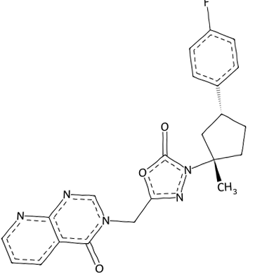 C[C@]1(n2nc(Cn3cnc4ncccc4c3=O)oc2=O)CC[C@@H](c2ccc(F)cc2)C1